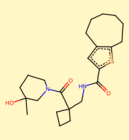 CC1(O)CCCN(C(=O)C2(CNC(=O)c3cc4c(s3)CCCCCC4)CCC2)C1